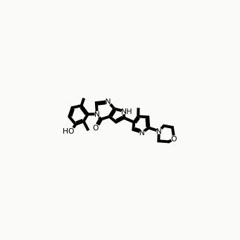 Cc1cc(N2CCOCC2)ncc1-c1cc2c(=O)n(-c3c(C)ccc(O)c3C)cnc2[nH]1